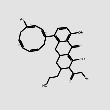 CC(=O)CC(=O)C1C(O)=C2C(=O)c3c(O)ccc(/C4=C/C=C(/C(C)=O)C/C=C\C=C/C4)c3CC2CC1CCO